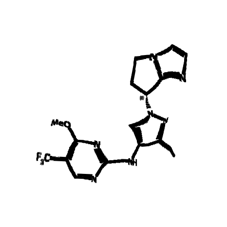 COc1nc(Nc2cn([C@@H]3CCn4ccnc43)nc2C)ncc1C(F)(F)F